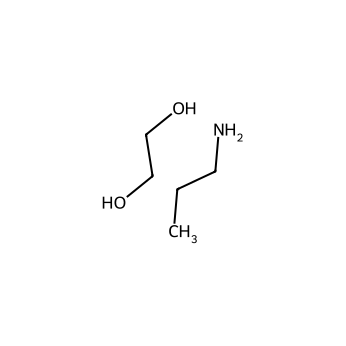 CCCN.OCCO